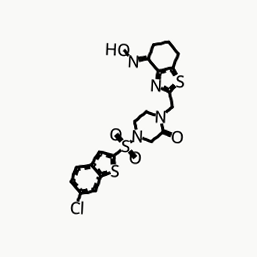 O=C1CN(S(=O)(=O)c2cc3ccc(Cl)cc3s2)CCN1Cc1nc2c(s1)CCCC2=NO